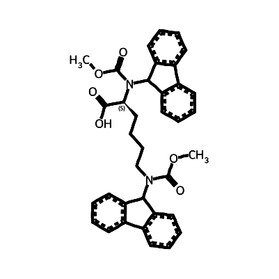 COC(=O)N(CCCC[C@@H](C(=O)O)N(C(=O)OC)C1c2ccccc2-c2ccccc21)C1c2ccccc2-c2ccccc21